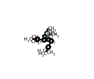 CCCCC1=Cc2c(-c3ccc(C(C)(C)C)cc3)ccc(C)c2[CH]1[Zr]([Cl])([Cl])([CH]1C(C(C)C)=Cc2c(-c3ccc(C(C)(C)C)cc3)cccc21)[SiH](C)C